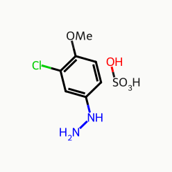 COc1ccc(NN)cc1Cl.O=S(=O)(O)O